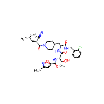 Cc1cc(C(=O)N[C@H](C(=O)N[C@@H](CC2CCN(C(=O)C(C#N)=CC(C)C)CC2)C(=O)NCc2ccccc2Cl)[C@@H](C)O)on1